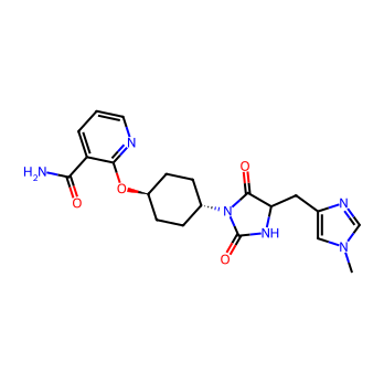 Cn1cnc(CC2NC(=O)N([C@H]3CC[C@H](Oc4ncccc4C(N)=O)CC3)C2=O)c1